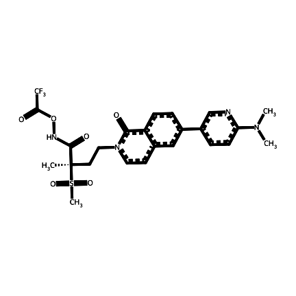 CN(C)c1ccc(-c2ccc3c(=O)n(CC[C@](C)(C(=O)NOC(=O)C(F)(F)F)S(C)(=O)=O)ccc3c2)cn1